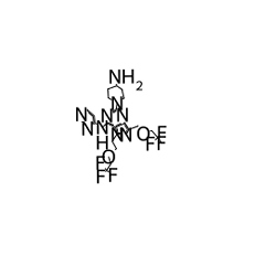 NC1CCN(c2nc(Nc3ccncn3)c3c(n2)c(COCC(F)(F)F)nn3CCOCC(F)(F)F)CC1